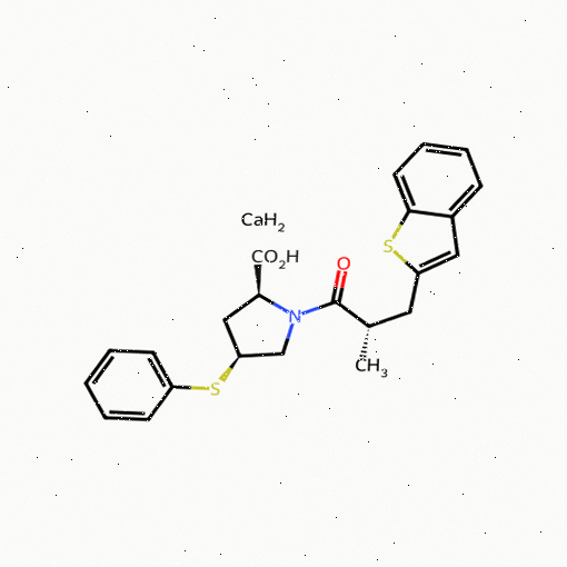 C[C@@H](Cc1cc2ccccc2s1)C(=O)N1C[C@@H](Sc2ccccc2)C[C@H]1C(=O)O.[CaH2]